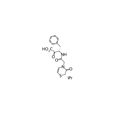 CC(C)[C@@H]1SC=CN(CC(=O)N[C@@H](Cc2ccccc2)C(=O)C(=O)O)C1=O